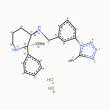 CCCc1nnnn1-c1cccc(CN[C@@H]2CCCN[C@]2(OC)c2ccccc2)c1.Cl.Cl